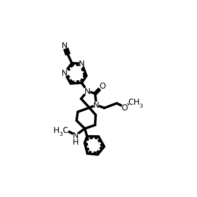 CNC1(c2ccccc2)CCC2(CC1)CN(c1cnc(C#N)nc1)C(=O)N2CCOC